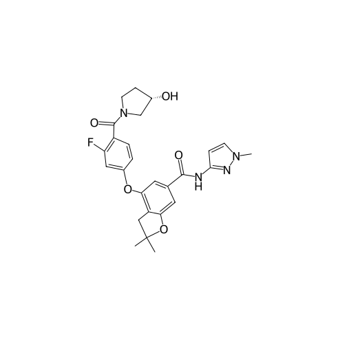 Cn1ccc(NC(=O)c2cc(Oc3ccc(C(=O)N4CC[C@H](O)C4)c(F)c3)c3c(c2)OC(C)(C)C3)n1